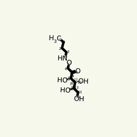 CCCCNOCC(=O)[C@@H](O)[C@H](O)[C@H](O)CO